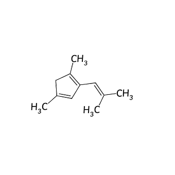 CC(C)=CC1=C(C)CC(C)=C1